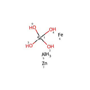 O[Si](O)(O)O.[AlH3].[Fe].[Zn]